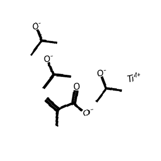 C=C(C)C(=O)[O-].CC(C)[O-].CC(C)[O-].CC(C)[O-].[Ti+4]